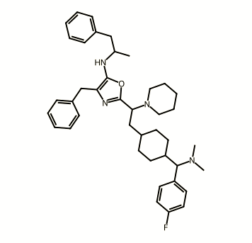 CC(Cc1ccccc1)Nc1oc(C(CC2CCC(C(c3ccc(F)cc3)N(C)C)CC2)N2CCCCC2)nc1Cc1ccccc1